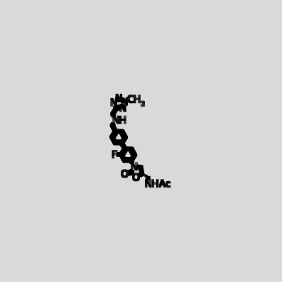 CC(=O)NC[C@H]1CN(c2ccc(-c3ccc(CNCc4nnn(C)n4)cc3)c(F)c2)C(=O)O1